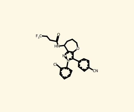 N#Cc1ccc(-c2c3c(nn2-c2ccccc2Cl)C(NC(=O)CCC(F)(F)F)CCCO3)cc1